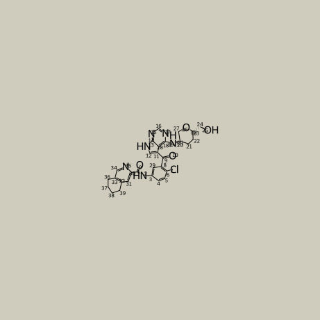 O=C(Nc1ccc(Cl)c(C(=O)c2c[nH]c3ncnc(N[C@@H]4CC[C@@H](CO)OC4)c23)c1)c1cc2c(cn1)CCCC2